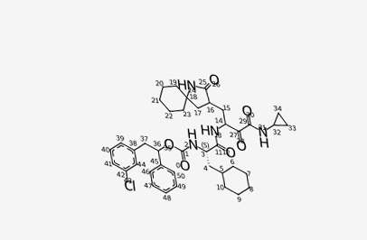 O=C(N[C@@H](CC1CCCCC1)C(=O)NC(CC1CC2(CCCCC2)NC1=O)C(=O)C(=O)NC1CC1)OC(Cc1cccc(Cl)c1)c1ccccc1